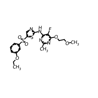 CCOc1cccc(S(=O)(=O)c2cnc(Nc3nc(C)nc(OCCOC)c3F)s2)c1